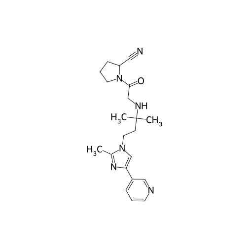 Cc1nc(-c2cccnc2)cn1CCC(C)(C)NCC(=O)N1CCCC1C#N